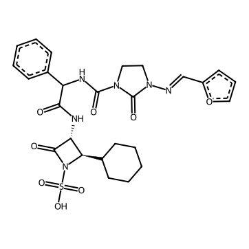 O=C(N[C@H]1C(=O)N(S(=O)(=O)O)[C@@H]1C1CCCCC1)C(NC(=O)N1CCN(/N=C/c2ccco2)C1=O)c1ccccc1